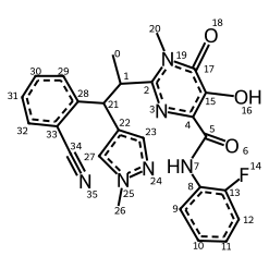 CC(c1nc(C(=O)Nc2ccccc2F)c(O)c(=O)n1C)C(c1cnn(C)c1)c1ccccc1C#N